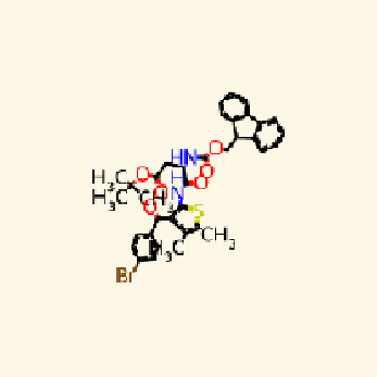 Cc1sc(NC(=O)C(CC(=O)OC(C)(C)C)NC(=O)OCC2c3ccccc3-c3ccccc32)c(C(=O)c2ccc(Br)cc2)c1C